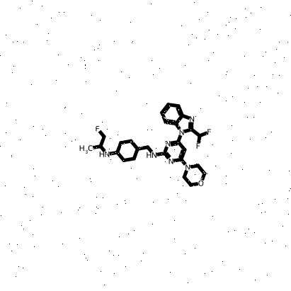 CC(CF)NC1CCC(CNc2nc(N3CCOCC3)cc(-n3c(C(F)F)nc4ccccc43)n2)CC1